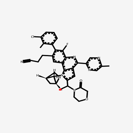 Cc1cnc(-c2nc3c(F)c(-c4cccc(Cl)c4C)c(CCC#N)cc3c3c2cc(C(C)N2CCOCC2=O)n3[C@H]2[C@H]3CN[C@@H]2C3)cn1